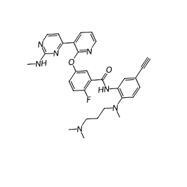 C#Cc1ccc(N(C)CCCN(C)C)c(NC(=O)c2cc(Oc3ncccc3-c3ccnc(NC)n3)ccc2F)c1